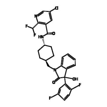 O=C(N[C@H]1CC[C@H](CN2C(=O)C(O)(c3cc(F)ccc3F)c3ccccc32)CC1)c1cc(Cl)cnc1C(F)F